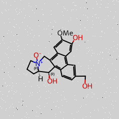 COc1cc2c3c(c4ccc(CO)cc4c2cc1O)[C@@H](O)[C@H]1CCC[N+]1([O-])C3